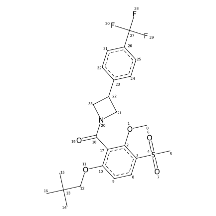 COc1c(S(C)(=O)=O)ccc(OCC(C)(C)C)c1C(=O)N1CC(c2ccc(C(F)(F)F)cc2)C1